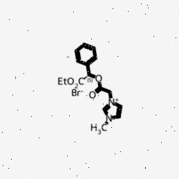 CCOC(=O)[C@@H](OC(=O)C[n+]1ccn(C)c1)c1ccccc1.[Br-]